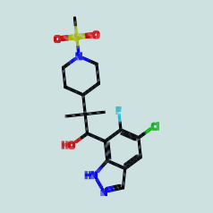 CC(C)(C1CCN(S(C)(=O)=O)CC1)C(O)c1c(F)c(Cl)cc2cn[nH]c12